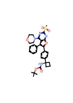 CC(C)(C)OC(=O)NC1(c2ccc(-c3oc4nc(S(C)(=O)=O)nc(N5CCOCC5)c4c3-c3ccccc3)cc2)CCC1